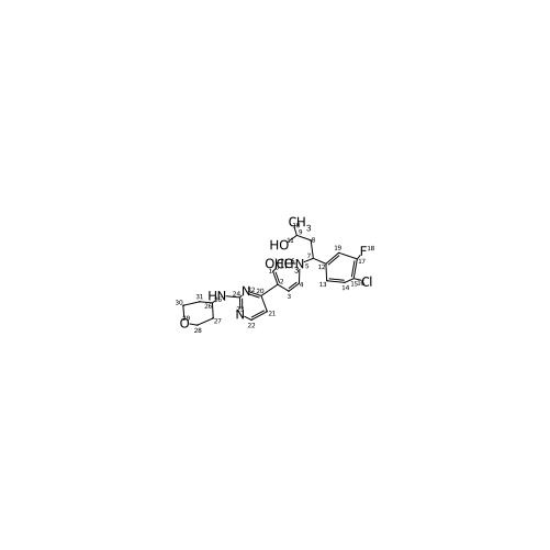 C/C=C(\C=C/N(C=O)C(CC(C)O)c1ccc(Cl)c(F)c1)c1ccnc(NC2CCOCC2)n1